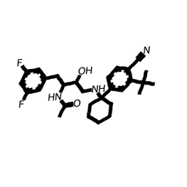 CC(=O)NC(Cc1cc(F)cc(F)c1)C(O)CNC1(c2ccc(C#N)c(C(C)(C)C)c2)CCCCC1